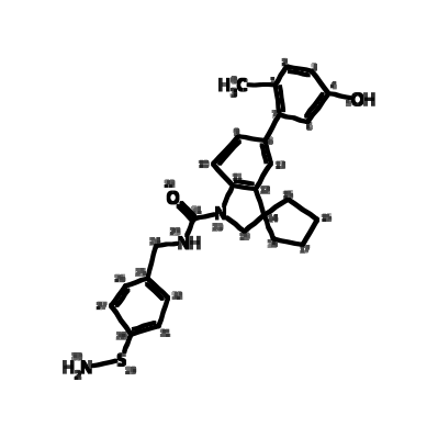 Cc1ccc(O)cc1-c1ccc2c(c1)C1(CCCC1)CN2C(=O)NCc1ccc(SN)cc1